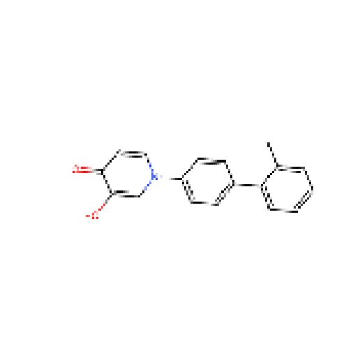 Cc1ccccc1-c1ccc(-n2ccc(=O)c(O)c2)cc1